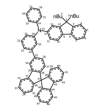 CCCCC1(CCCC)c2ccccc2-c2ccc(N(c3ccccc3)c3cccc(-c4ccc5c(c4)-c4ccccc4C54c5ccccc5-c5ccccc54)c3)cc21